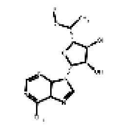 CC1=NC=NC2C1N=CN2[C@@H]1O[C@H](C(C)OC(C)C)[C@@H](O)[C@H]1O